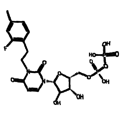 Cc1ccc(CCn2c(=O)ccn([C@@H]3O[C@H](COP(=O)(O)OP(=O)(O)O)[C@H](O)C3O)c2=O)c(F)c1